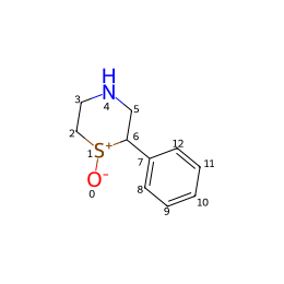 [O-][S+]1CCNCC1c1ccccc1